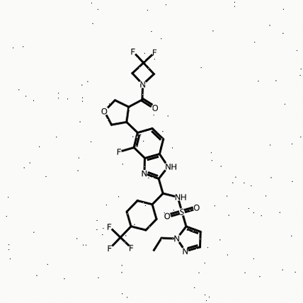 CCn1nccc1S(=O)(=O)NC(c1nc2c(F)c(C3COCC3C(=O)N3CC(F)(F)C3)ccc2[nH]1)C1CCC(C(F)(F)F)CC1